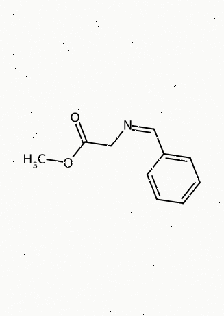 COC(=O)C/N=C\c1ccccc1